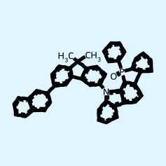 CC1(C)c2ccc(-c3ccc4ccccc4c3)cc2-c2cc(-n3c4ccccc4c4ccc5c(c43)P(=O)(c3ccccc3)c3ccccc3-5)ccc21